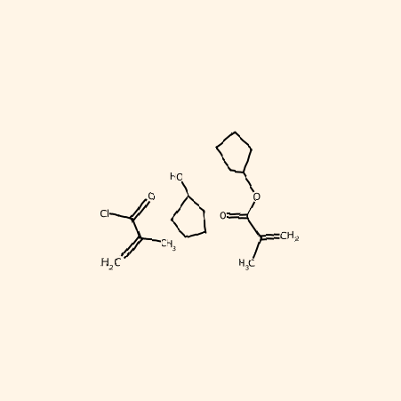 C=C(C)C(=O)Cl.C=C(C)C(=O)OC1CCCC1.OC1CCCC1